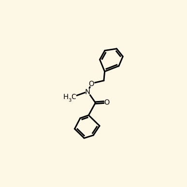 CN(OCc1ccccc1)C(=O)c1ccccc1